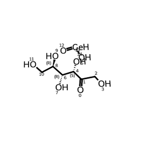 O=C(CO)[C@@H](O)[C@H](O)[C@H](O)CO.[O]=[GeH][OH]